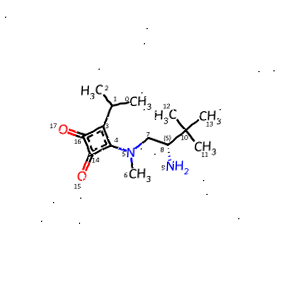 CC(C)c1c(N(C)C[C@@H](N)C(C)(C)C)c(=O)c1=O